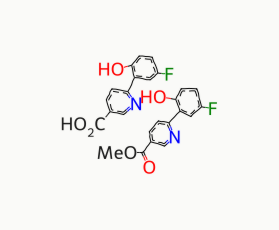 COC(=O)c1ccc(-c2cc(F)ccc2O)nc1.O=C(O)c1ccc(-c2cc(F)ccc2O)nc1